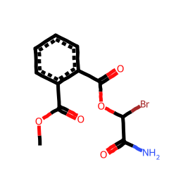 COC(=O)c1ccccc1C(=O)OC(Br)C(N)=O